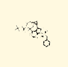 CC(C)(C)OC(=O)N1CCNCC1(C)c1ncnc2c1c(C1CC1)cn2S(=O)(=O)Cc1ccccc1